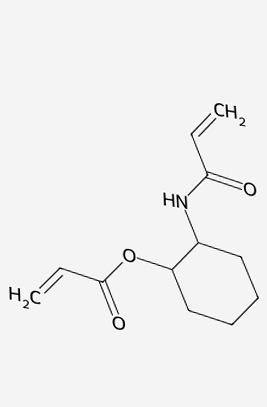 C=CC(=O)NC1CCCCC1OC(=O)C=C